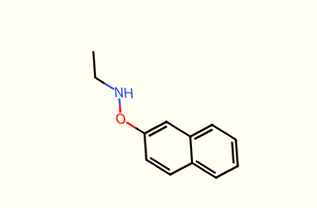 CCNOc1ccc2ccccc2c1